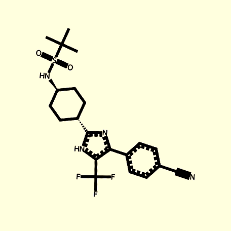 CC(C)(C)S(=O)(=O)N[C@H]1CC[C@H](c2nc(-c3ccc(C#N)cc3)c(C(F)(F)F)[nH]2)CC1